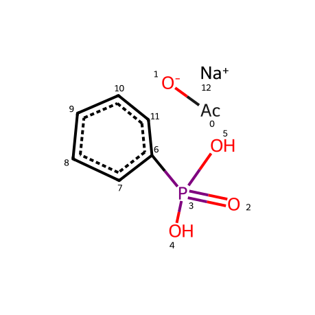 CC(=O)[O-].O=P(O)(O)c1ccccc1.[Na+]